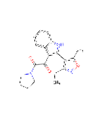 CCc1noc(C)c1-c1[nH]c2ccccc2c1C(=O)C(=O)N1CCCC1